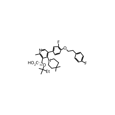 CCC(C)(C)O[C@H](C(=O)O)c1c(C)ncc(-c2ccc(OCCc3ccc(F)cc3)c(F)c2)c1N1CCC(C)(C)CC1